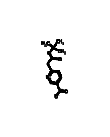 CC(C)(C)OC(=O)Cc1ccc([N+](=O)[O-])cn1